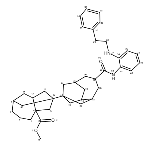 COC(=O)C12CCCC3CC1CC(C14CC5CC(C(=O)Nc6ccccc6NCCc6ccccc6)CC(C1)C(C5)C4)(C3)C2